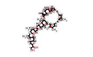 C=C1C[C@@H]2CC[C@@]34C[C@H]5O[C@H]6[C@@H](O3)[C@H]3O[C@H](CC[C@@H]3O[C@H]6[C@H]5O4)CC(=O)O[C@@H]3[C@@H](C)[C@@H]4O[C@@H]5C[C@]6(C[C@@H]7O[C@]8(C[C@H](C)[C@@H]9O[C@@H]%10CC(C(O)CO)O[C@@H]%10C[C@@H]9O8)C[C@H](C)[C@@H]7O6)O[C@@H]5C[C@@H]4O[C@H]3C[C@H]3O[C@@H](CC[C@@H]1O2)C[C@@H](C)C3=C